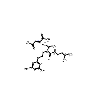 Cc1cc(C)cc(OCCN(C(=O)NCCN(C)C)C(C)C)c1.O=C(O)/C=C/C(=O)O